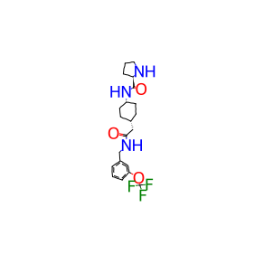 O=C(C[C@H]1CC[C@@H](NC(=O)[C@H]2CCCN2)CC1)NCc1cccc(OC(F)(F)F)c1